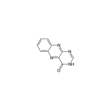 O=c1[nH]cnc2nc3ccccc3nc12